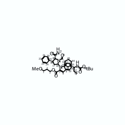 COCCCOC(=O)c1cc2ccccc2n1C1C[C@@H](c2ccccc2)[C@@H](C(N)=O)N1C(=O)[C@H]1CC[C@H](C(CF)NC(=O)OC(C)(C)C)CC1